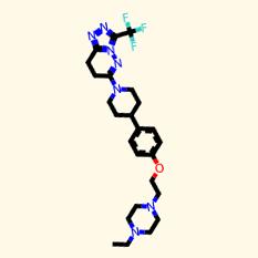 CCN1CCN(CCOc2ccc(C3CCN(C4=Nn5c(nnc5C(F)(F)F)CC4)CC3)cc2)CC1